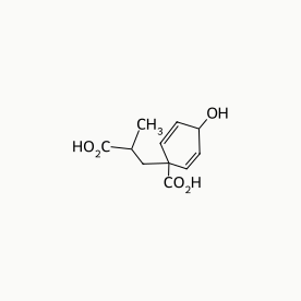 CC(CC1(C(=O)O)C=CC(O)C=C1)C(=O)O